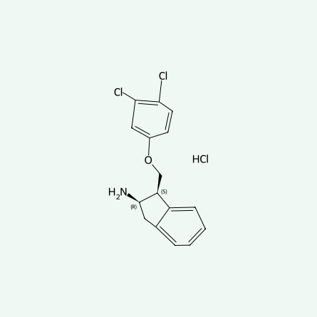 Cl.N[C@@H]1Cc2ccccc2[C@@H]1COc1ccc(Cl)c(Cl)c1